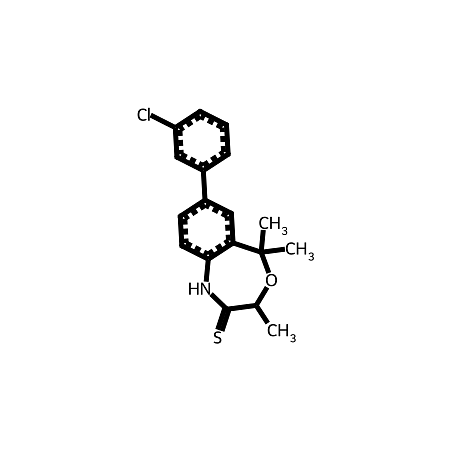 CC1OC(C)(C)c2cc(-c3cccc(Cl)c3)ccc2NC1=S